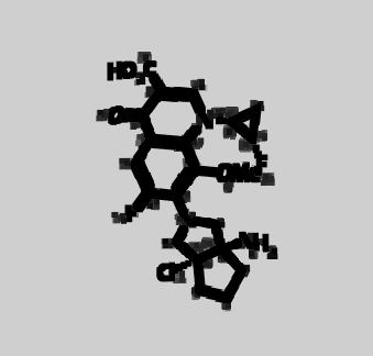 COc1c(N2C[C@]3(N)CCC[C@@]3(Cl)C2)c(F)cc2c(=O)c(C(=O)O)cn([C@@H]3C[C@@H]3F)c12